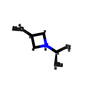 CCCC[C@@H](CC)N1CC(OC)C1